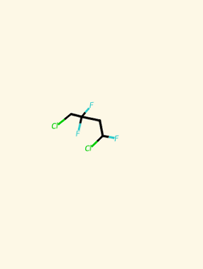 FC(Cl)CC(F)(F)CCl